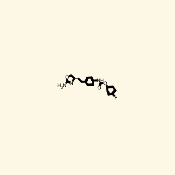 NC1=N[C@@H](CCc2ccc(NC(=O)Oc3ccc(F)cc3)cc2)CO1